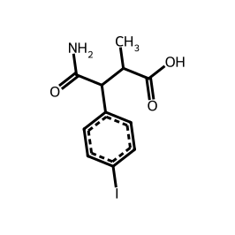 CC(C(=O)O)C(C(N)=O)c1ccc(I)cc1